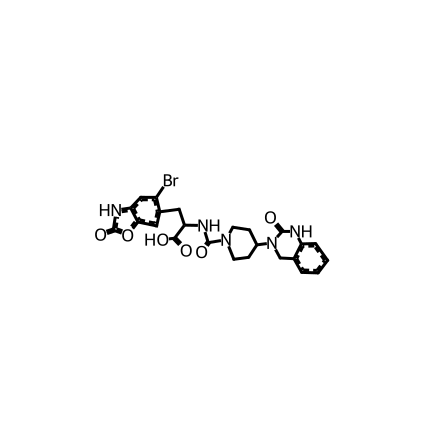 O=C(O)C(Cc1cc2oc(=O)[nH]c2cc1Br)NC(=O)N1CCC(N2Cc3ccccc3NC2=O)CC1